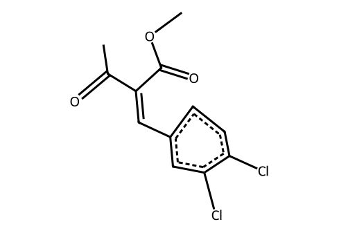 COC(=O)C(=Cc1ccc(Cl)c(Cl)c1)C(C)=O